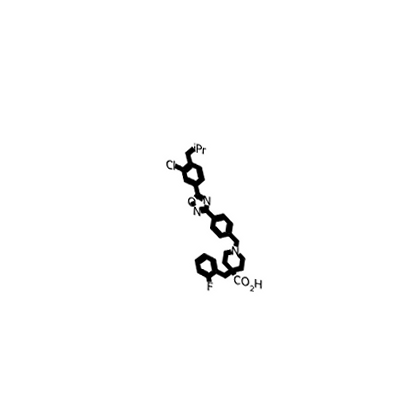 CC(C)Cc1ccc(-c2nc(-c3ccc(CN4CCC(Cc5ccccc5F)(C(=O)O)CC4)cc3)no2)cc1Cl